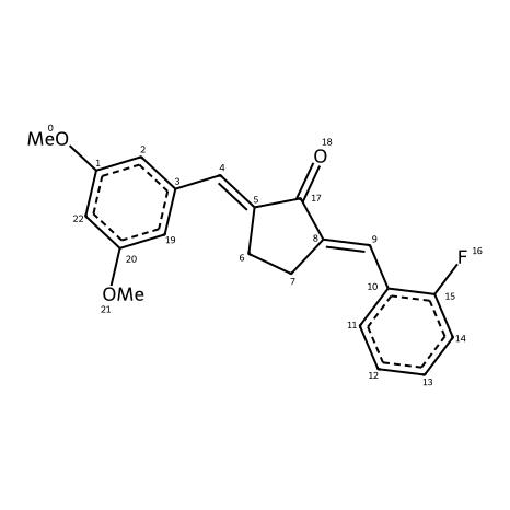 COc1cc(/C=C2\CC/C(=C\c3ccccc3F)C2=O)cc(OC)c1